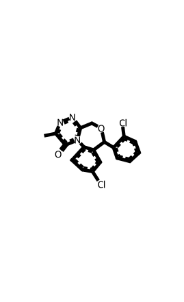 Cc1nnc2n(c1=O)-c1ccc(Cl)cc1C(c1ccccc1Cl)OC2